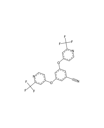 N#Cc1cc(Oc2ccnc(C(F)(F)F)c2)cc(Oc2ccnc(C(F)(F)F)c2)c1